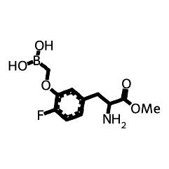 COC(=O)C(N)Cc1ccc(F)c(OCB(O)O)c1